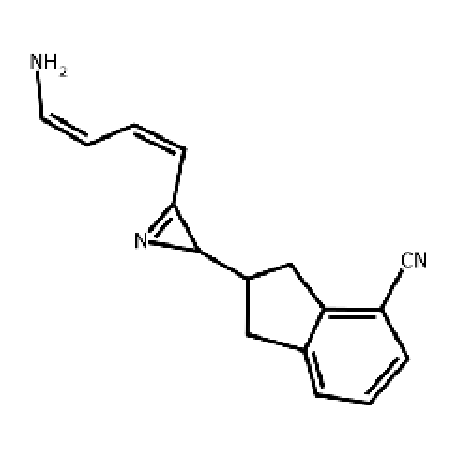 N#Cc1cccc2c1CC(C1N=C1/C=C\C=C/N)C2